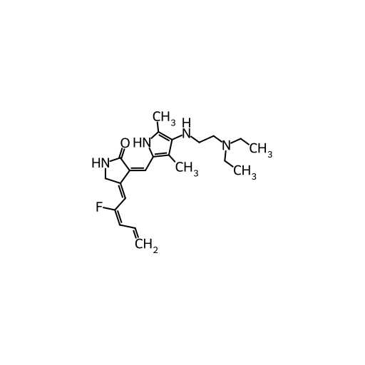 C=C\C=C(F)/C=C1\CNC(=O)\C1=C/c1[nH]c(C)c(NCCN(CC)CC)c1C